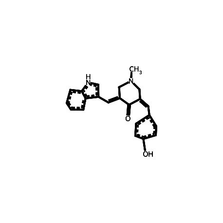 CN1CC(=Cc2ccc(O)cc2)C(=O)C(=Cc2c[nH]c3ccccc23)C1